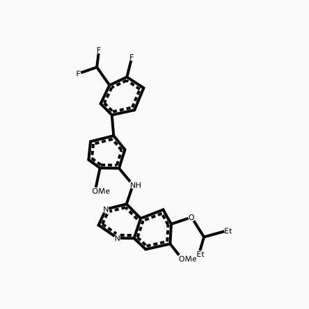 CCC(CC)Oc1cc2c(Nc3cc(-c4ccc(F)c(C(F)F)c4)ccc3OC)ncnc2cc1OC